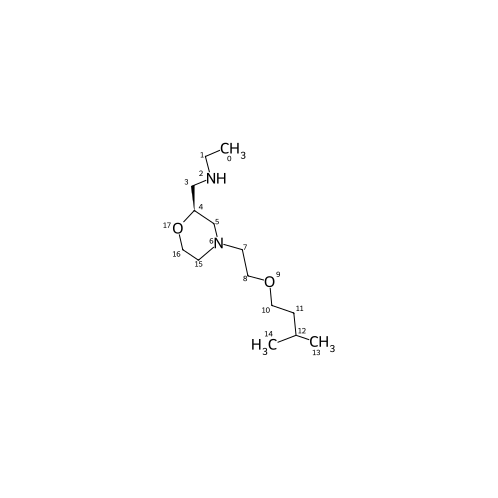 CCNC[C@H]1CN(CCOCCC(C)C)CCO1